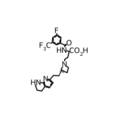 O=C(NC(CCN1CC[C@@H](CCc2ccc3c(n2)NCCC3)C1)C(=O)O)c1cc(F)cc(C(F)(F)F)c1